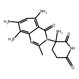 Bc1cc(N)c2c(=O)n(C3(B)CCC(=O)NC3=O)c(C)nc2c1B